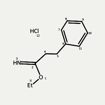 CCOC(=N)CCc1ccccc1.Cl